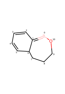 B1=C2C=CC=CC2CCCO1